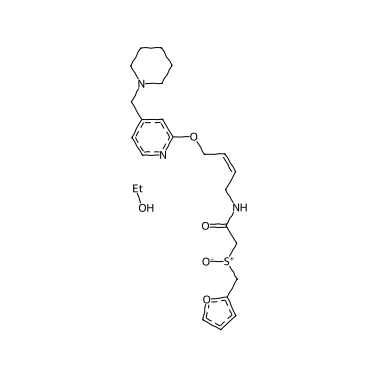 CCO.O=C(C[S+]([O-])Cc1ccco1)NC/C=C\COc1cc(CN2CCCCC2)ccn1